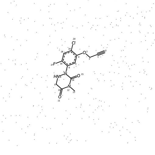 C#CCOc1cc(N2NCC(=O)N(C)C2=O)c(F)cc1Cl